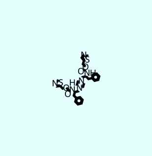 O=C(NC(Cc1ccccc1)CN1CCN(CC(Cc2ccccc2)NC(=O)OCc2cncs2)CC1)OCc1cncs1